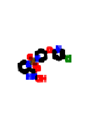 O=C(NO)C1CCCCN1S(=O)(=O)N1CCC(Oc2ccc(Cl)cn2)CC1